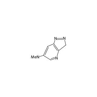 CNc1cnc2c(c1)N=NC2